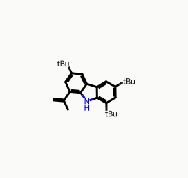 C=C(C)c1cc(C(C)(C)C)cc2c1[nH]c1c(C(C)(C)C)cc(C(C)(C)C)cc12